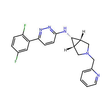 Fc1ccc(F)c(-c2ccc(N[C@@H]3[C@@H]4CN(Cc5ccccn5)C[C@@H]43)nn2)c1